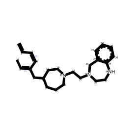 C=C/C=C\C(=C/C)CC1CCCN(CCN2CCNc3ccccc3C2)CC1